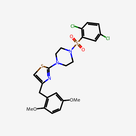 COc1ccc(OC)c(Cc2csc(N3CCN(S(=O)(=O)c4cc(Cl)ccc4Cl)CC3)n2)c1